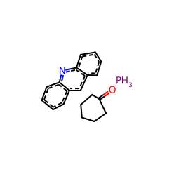 O=C1CCCCC1.P.c1ccc2nc3ccccc3cc2c1